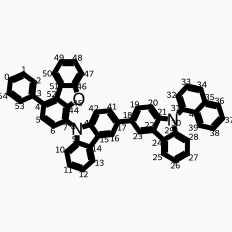 c1ccc(-c2ccc(-n3c4ccccc4c4cc(-c5ccc6c(c5)c5ccccc5n6-c5cccc6ccccc56)ccc43)c3oc4ccccc4c23)cc1